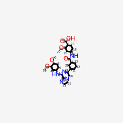 COc1ccc(Nc2nc(-c3cccc(C(=O)Nc4ccc(C(=O)O)c(OC)c4)c3)cn3ccnc23)cc1OC